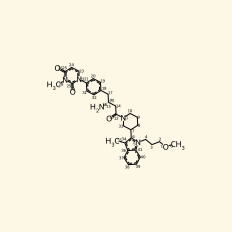 COCCCn1c(C2CCCN(C(=O)C[C@H](N)Cc3ccc(-n4ccc(=O)n(C)c4=O)cc3)C2)c(C)c2ccccc21